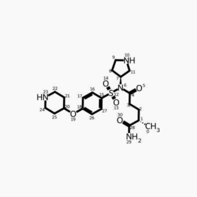 C[C@@H](C[CH]C(=O)N([C@H]1CCNC1)S(=O)(=O)c1ccc(OC2CCNCC2)cc1)C(N)=O